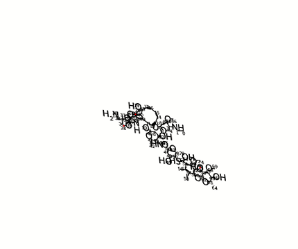 CCN[C@H]1CO[C@@H](O[C@H]2[C@H](O[C@H]3C#CC=CC#C[C@]4(O)CC(=O)C(NC(=O)OC)=C3/C4=C\CSSC(C)(C)CN)O[C@H](C)[C@@H](NO[C@H]3C[C@H](O)[C@H]([SH]=C(O)c4c(C)c(I)c(O[C@@H]5O[C@@H](C)[C@H](O)[C@@H](OC)[C@H]5O)c(OC)c4OC)[C@@H](C)O3)[C@@H]2O)C[C@@H]1OC